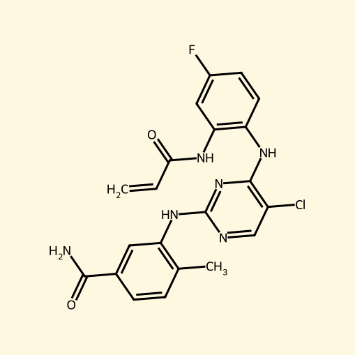 C=CC(=O)Nc1cc(F)ccc1Nc1nc(Nc2cc(C(N)=O)ccc2C)ncc1Cl